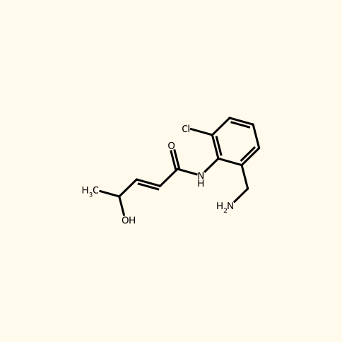 CC(O)C=CC(=O)Nc1c(Cl)cccc1CN